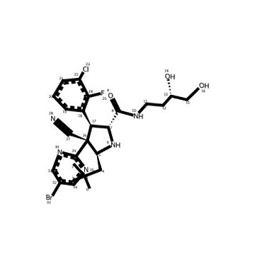 CC(C)(C)C[C@@H]1N[C@@H](C(=O)NCC[C@H](O)CO)[C@H](c2cccc(Cl)c2F)[C@@]1(C#N)c1ncc(Br)cn1